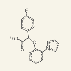 O=C(O)C(Oc1ccccc1-n1cccc1)c1ccc(F)cc1